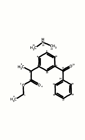 CCOC(=O)C(C)c1cccc(C(=O)c2ccccc2)c1.CNC